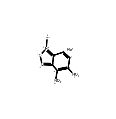 O=[N+]([O-])c1ccc2c(no[n+]2[O-])c1[N+](=O)[O-].[Na+]